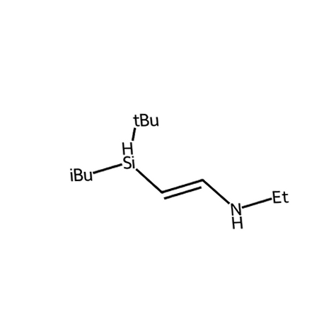 CCNC=C[SiH](C(C)CC)C(C)(C)C